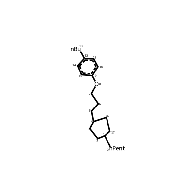 CCCCCC1CCC(CCCOc2ccc(CCCC)cc2)CC1